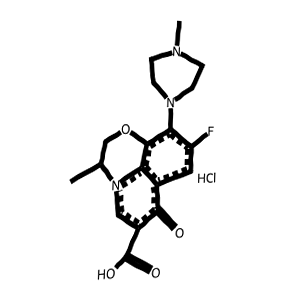 CC1COc2c(N3CCN(C)CC3)c(F)cc3c(=O)c(C(=O)O)cn1c23.Cl